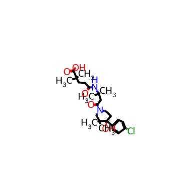 CC(C)(CC(=O)N1CC[C@](O)(c2ccc(Cl)cc2)C(C)(C)C1)NC(=O)CCC(C)(C)C(=O)O